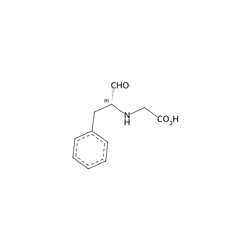 O=[C][C@@H](Cc1ccccc1)NCC(=O)O